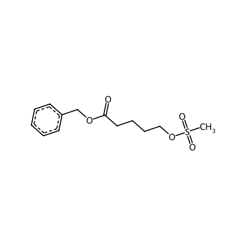 CS(=O)(=O)OCCCCC(=O)OCc1ccccc1